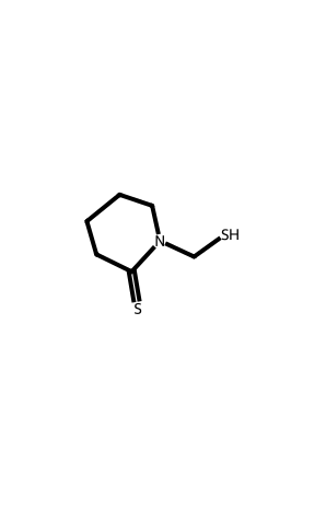 S=C1CCCCN1CS